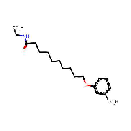 O=C(O)CNC(=O)CCCCCCCCCOc1cccc(C(=O)O)c1